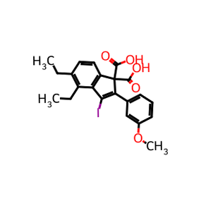 CCc1ccc2c(c1CC)C(I)=C(c1cccc(OC)c1)C2(C(=O)O)C(=O)O